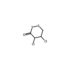 O=C1SSCC(Cl)C1Cl